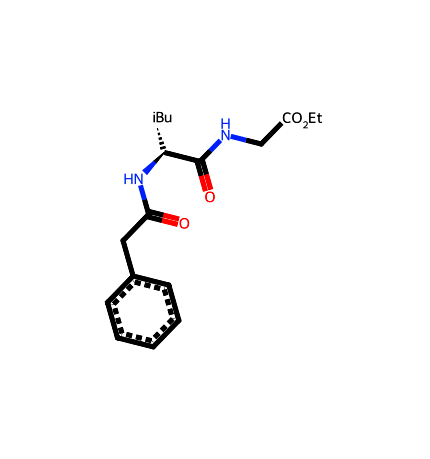 CCOC(=O)CNC(=O)[C@@H](NC(=O)Cc1ccccc1)[C@@H](C)CC